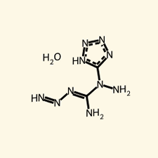 N=NN=C(N)N(N)c1nnn[nH]1.O